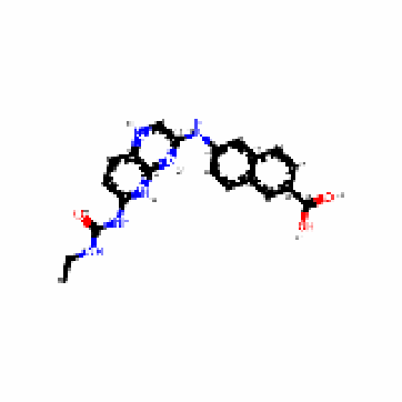 CCNC(=O)Nc1ccc2ncc(Nc3ccc4cc(C(=O)O)ccc4c3)nc2n1